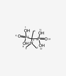 CN(C)C(C)(P(=O)(O)O)P(=O)(O)O